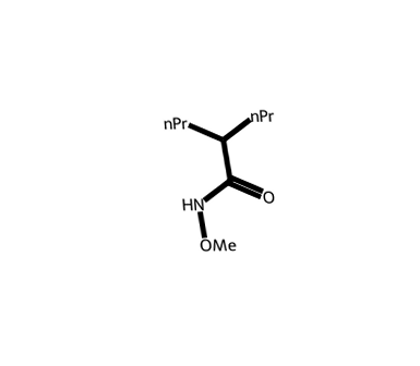 CCCC(CCC)C(=O)NOC